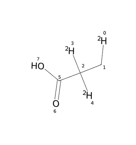 [2H]CC([2H])([2H])C(=O)O